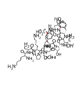 C[C@H](NC(=O)[C@@H](N)CCCCN)C(=O)N[C@@H](CCCCN)C(=O)N1CCC[C@H]1C(=O)N[C@@H](CO)C(=O)N[C@@H](Cc1ccc(O)cc1)C(=O)N1C[C@H](O)C[C@H]1C(=O)N[C@H](C(=O)N[C@@H](Cc1ccc(O)cc1)C(=O)N1C[C@H](O)C[C@H]1C(=O)N[C@@H](CCCCN)C(=O)O)[C@@H](C)O